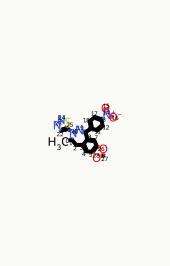 CC1Cc2cc3c(cc2C(c2ccc([N+](=O)[O-])cc2)=NN1c1cnns1)OCO3